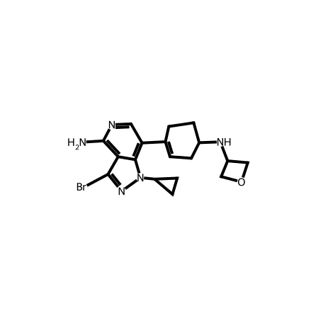 Nc1ncc(C2=CCC(NC3COC3)CC2)c2c1c(Br)nn2C1CC1